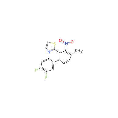 [CH2]c1ccc(-c2ccc(F)c(F)c2)c(-c2nccs2)c1[N+](=O)[O-]